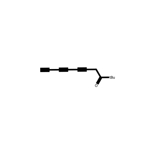 C#CC#CC#CCC(=O)C(C)(C)C